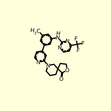 Cc1cc(Nc2nccc(C(F)(F)F)n2)cc(-c2ccnc(N3CCCC4(CCOC4=O)C3)c2)c1